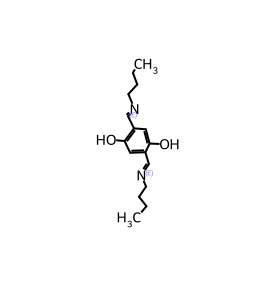 CCCC/N=C/c1cc(O)c(/C=N/CCCC)cc1O